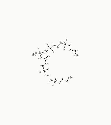 CC(C)OCCC(C)(C)OCCC(C)(C)OCC(COC(C)(C)CCOC(C)(C)CCOC(C)C)O[Si](C)(C)C(C)(C)C